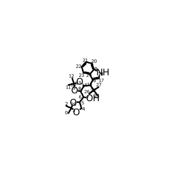 CC1(C)OCC(C(O)C2OC(C)(C)OC2C(c2c[nH]c3ccccc23)C(C)(C)C)O1